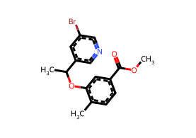 COC(=O)c1ccc(C)c(OC(C)c2cncc(Br)c2)c1